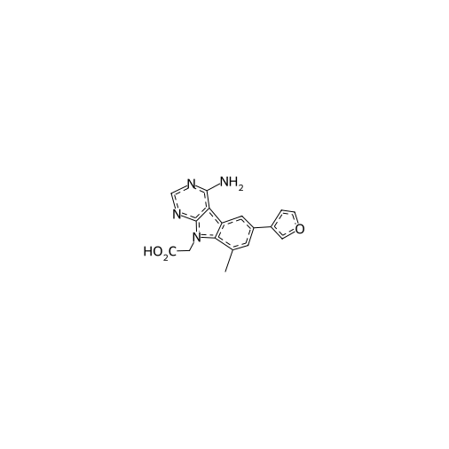 Cc1cc(-c2ccoc2)cc2c3c(N)ncnc3n(CC(=O)O)c12